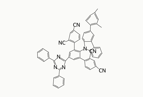 Cc1ccc(-c2ccc3c(c2)c2ccccc2n3-c2c(-c3ccc(C#N)cc3C#N)cc(-c3nc(-c4ccccc4)nc(-c4ccccc4)n3)cc2-c2ccc(C#N)cc2C#N)c(C)c1